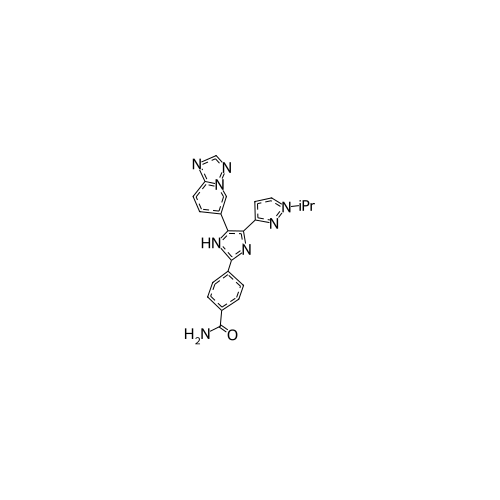 CC(C)n1ccc(-c2nc(-c3ccc(C(N)=O)cc3)[nH]c2-c2ccc3ncnn3c2)n1